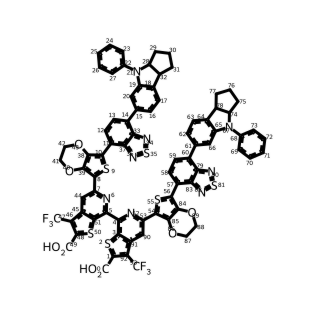 O=C(O)c1sc2c(-c3nc(-c4sc(-c5ccc(-c6ccc7c(c6)N(c6ccccc6)C6CCCC76)c6nsnc56)c5c4OCCO5)cc4c(C(F)(F)F)c(C(=O)O)sc34)nc(-c3sc(-c4ccc(-c5ccc6c(c5)N(c5ccccc5)C5CCCC65)c5nsnc45)c4c3OCCO4)cc2c1C(F)(F)F